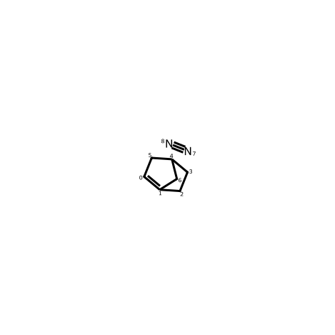 C1=C2CCC(C1)C2.N#N